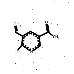 C=Cc1cc(C(C)=O)cnc1Cl